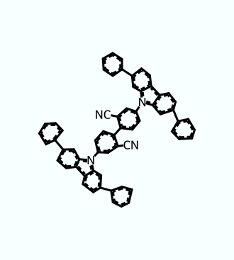 N#Cc1cc(-n2c3cc(-c4ccccc4)ccc3c3ccc(-c4ccccc4)cc32)ccc1-c1ccc(-n2c3cc(-c4ccccc4)ccc3c3ccc(-c4ccccc4)cc32)cc1C#N